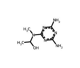 CC(O)N(C)c1nc(N)nc(N)n1